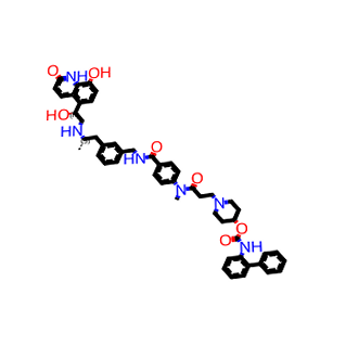 C[C@@H](Cc1cccc(CNC(=O)c2ccc(N(C)C(=O)CCN3CCC(OC(=O)Nc4ccccc4-c4ccccc4)CC3)cc2)c1)NC[C@H](O)c1ccc(O)c2[nH]c(=O)ccc12